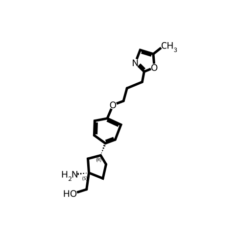 Cc1cnc(CCCOc2ccc([C@@H]3CC[C@@](N)(CO)C3)cc2)o1